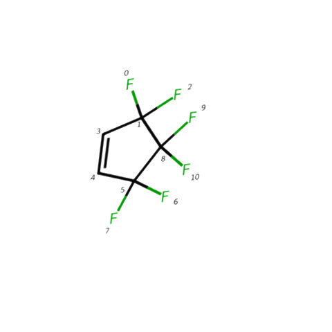 FC1(F)C=CC(F)(F)C1(F)F